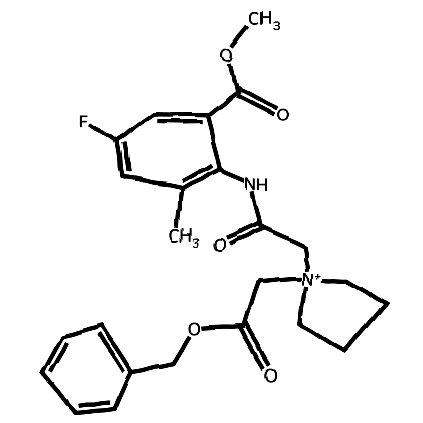 COC(=O)c1cc(F)cc(C)c1NC(=O)C[N+]1(CC(=O)OCc2ccccc2)CCCC1